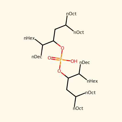 CCCCCCCCCCC(CCCCCC)C(CC(CCCCCCCC)CCCCCCCC)OP(=O)(O)OC(CC(CCCCCCCC)CCCCCCCC)C(CCCCCC)CCCCCCCCCC